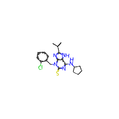 CC(C)c1nc2c([nH]1)c(NC1CCCC1)nc(=S)n2Cc1ccccc1Cl